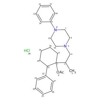 CC(=O)OC1(C(C)CN2CCN(c3ccccc3)CC2)CCCCC1c1ccccc1.Cl